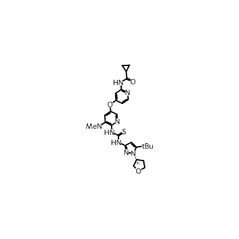 CNc1cc(Oc2ccnc(NC(=O)C3CC3)c2)cnc1NC(=S)Nc1cc(C(C)(C)C)n([C@@H]2CCOC2)n1